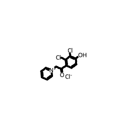 O=C(C[n+]1ccccc1)c1ccc(O)c(Cl)c1Cl.[Cl-]